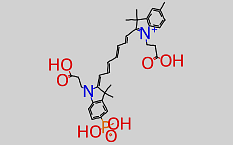 Cc1ccc2c(c1)C(C)(C)C(/C=C/C=C/C=C/C=C1/N(CCC(=O)O)c3ccc(P(=O)(O)O)cc3C1(C)C)=[N+]2CCC(=O)O